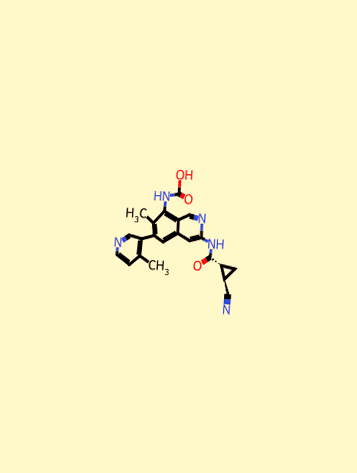 Cc1ccncc1-c1cc2cc(NC(=O)[C@@H]3C[C@H]3C#N)ncc2c(NC(=O)O)c1C